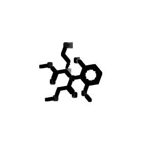 COCC(=O)N(c1c(Cl)cccc1OC)[C@@H](CCO)C(=O)OC